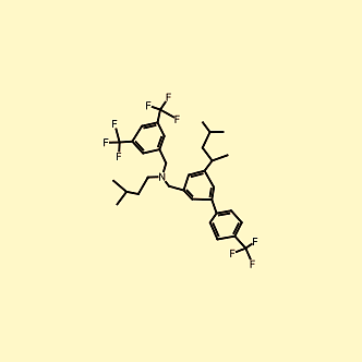 CC(C)CCN(Cc1cc(-c2ccc(C(F)(F)F)cc2)cc(C(C)CC(C)C)c1)Cc1cc(C(F)(F)F)cc(C(F)(F)F)c1